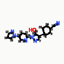 N#Cc1ccc(-c2cnn(-c3ccc(-n4cccn4)cn3)c2O)cc1